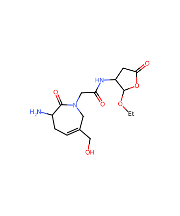 CCOC1OC(=O)CC1NC(=O)CN1CC(CO)=CCC(N)C1=O